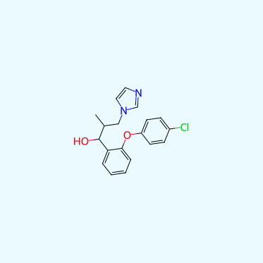 CC(Cn1ccnc1)C(O)c1ccccc1Oc1ccc(Cl)cc1